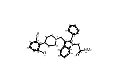 CNC(=O)Cn1c(-c2ccccc2)c(CN2CCC(c3c(Cl)cccc3Cl)CC2)c2ccccc21